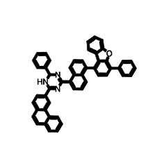 c1ccc(-c2ccc(-c3cccc4c(C5=NC(c6ccccc6)NC(c6ccc7ccc8ccccc8c7c6)=N5)cccc34)c3c2oc2ccccc23)cc1